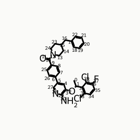 CC(Oc1cc(-c2ccc(C(=O)N3CCC(Cc4ccccc4)CC3)cc2)cnc1N)c1c(Cl)ccc(F)c1Cl